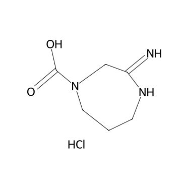 Cl.N=C1CN(C(=O)O)CCCN1